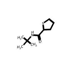 CC(C)(C)NC(=O)C1CCCS1